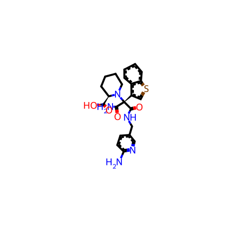 NC(=O)[C@](C(=O)NCc1ccc(N)nc1)(c1csc2ccccc12)N1CCCC[C@@H]1C(=O)O